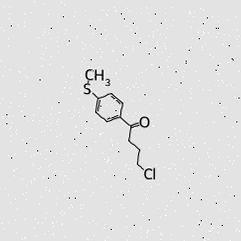 CSc1ccc(C(=O)CCCCl)cc1